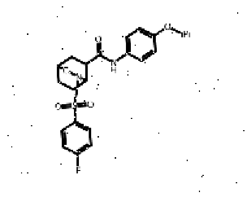 CC(C)Oc1ccc(NC(=O)C2CC3CCC2N(S(=O)(=O)c2ccc(F)cc2)C3)cc1